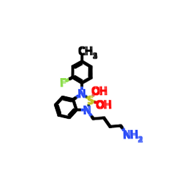 Cc1ccc(N2c3ccccc3N(CCCCN)S2(O)O)c(F)c1